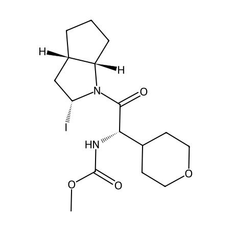 COC(=O)N[C@H](C(=O)N1[C@H](I)C[C@@H]2CCC[C@@H]21)C1CCOCC1